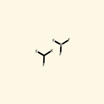 FB(F)F.F[CH](F)[K]